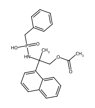 CC(=O)OCC(C)(NP(=O)(O)Cc1ccccc1)c1cccc2ccccc12